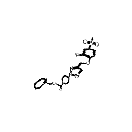 CS(=O)(=O)c1ccc(OCc2cnn(C3CCN(C(=O)OCc4ccccc4)CC3)n2)c(F)c1